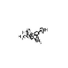 CC(C)NC(O)C(C)Cn1cc2c(N)nc3cc(-c4cc[nH]n4)ccc3c2n1